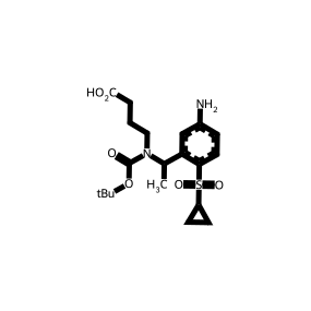 CC(c1cc(N)ccc1S(=O)(=O)C1CC1)N(CCCC(=O)O)C(=O)OC(C)(C)C